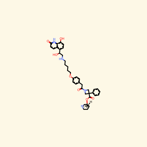 O=C(Cc1ccc(OCCCCCNCC(O)c2ccc(O)c3[nH]c(=O)ccc23)cc1)N1CC(C(=O)O[C@H]2CN3CCC2CC3)(c2ccccc2)C1